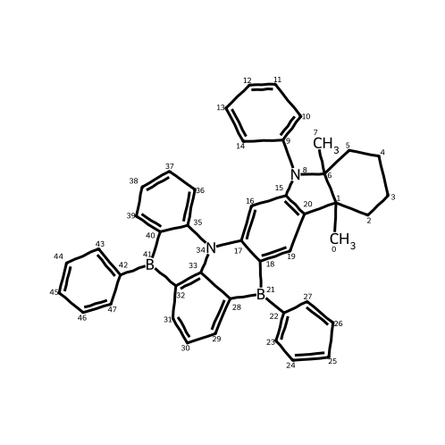 CC12CCCCC1(C)N(c1ccccc1)c1cc3c(cc12)B(c1ccccc1)c1cccc2c1N3c1ccccc1B2c1ccccc1